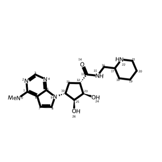 CNc1ncnc2c1ccn2[C@@H]1C[C@H](C(=O)NCC2CCCCN2)[C@@H](O)[C@H]1O